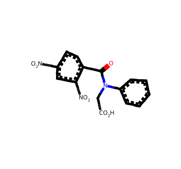 O=C(O)CN(C(=O)c1ccc([N+](=O)[O-])cc1[N+](=O)[O-])c1ccccc1